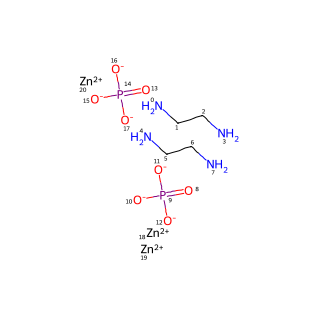 NCCN.NCCN.O=P([O-])([O-])[O-].O=P([O-])([O-])[O-].[Zn+2].[Zn+2].[Zn+2]